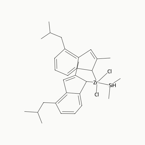 CC1=Cc2c(CC(C)C)cccc2[CH]1[Zr]([Cl])([Cl])([CH]1C(C)=Cc2c(CC(C)C)cccc21)[SiH](C)C